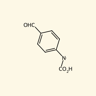 O=Cc1ccc([N]C(=O)O)cc1